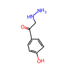 NNCC(=O)c1ccc(O)cc1